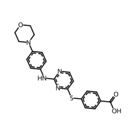 O=C(O)c1ccc(Sc2ccnc(Nc3ccc(N4CCOCC4)cc3)n2)cc1